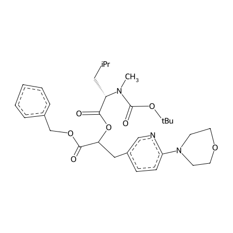 CC(C)C[C@@H](C(=O)OC(Cc1ccc(N2CCOCC2)nc1)C(=O)OCc1ccccc1)N(C)C(=O)OC(C)(C)C